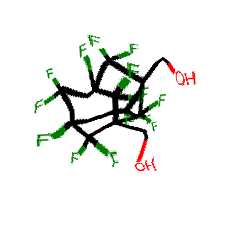 OCC12C(F)(F)C3(F)C(F)(F)C(F)(C1(F)F)C(F)(F)C(CO)(C3(F)F)C2(F)F